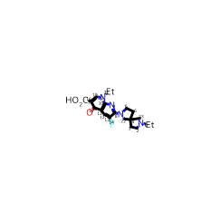 CCN1CCC2(CCN(c3nc4c(cc3F)c(=O)c(C(=O)O)cn4CC)C2)C1